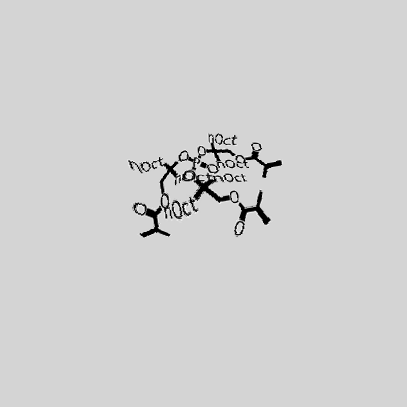 C=C(C)C(=O)OCC(CCCCCCCC)(CCCCCCCC)OP(=O)(OC(CCCCCCCC)(CCCCCCCC)COC(=O)C(=C)C)OC(CCCCCCCC)(CCCCCCCC)COC(=O)C(=C)C